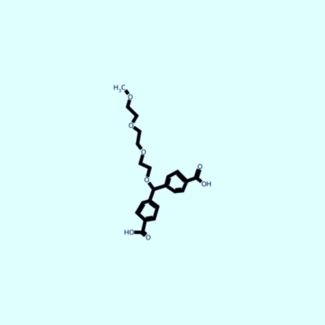 COCCOCCOCCOC(c1ccc(C(=O)O)cc1)c1ccc(C(=O)O)cc1